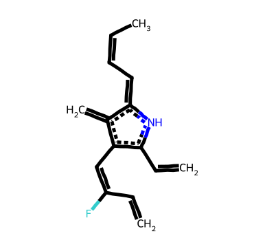 C=C/C(F)=C\c1c(C=C)[nH]/c(=C/C=C\C)c1=C